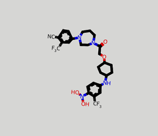 N#Cc1ccc(N2CCCN(C(=O)COC3CCC(Nc4ccc(N(O)O)c(C(F)(F)F)c4)CC3)CC2)cc1C(F)(F)F